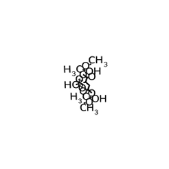 CCOC(C)(O)OC(=O)CC(C(=O)OC(C)(O)OCC)S(=O)(=O)O